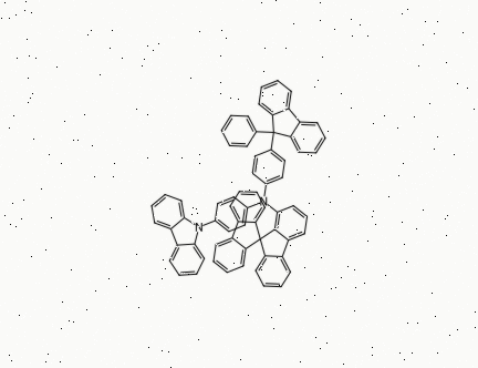 c1ccc(C2(c3ccc(N(c4ccc(-n5c6ccccc6c6ccccc65)cc4)c4cccc5c4C4(c6ccccc6-c6ccccc64)c4ccccc4-5)cc3)c3ccccc3-c3ccccc32)cc1